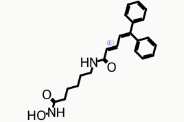 O=C(/C=C/C=C(c1ccccc1)c1ccccc1)NCCCCCC(=O)NO